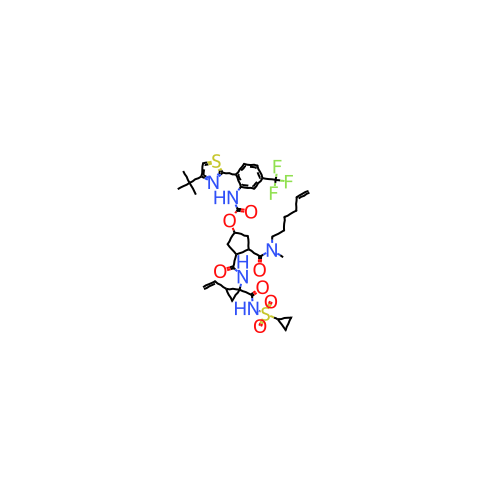 C=CCCCCN(C)C(=O)C1CC(OC(=O)Nc2cc(C(F)(F)F)ccc2-c2nc(C(C)(C)C)cs2)CC1C(=O)NC1(C(=O)NS(=O)(=O)C2CC2)CC1C=C